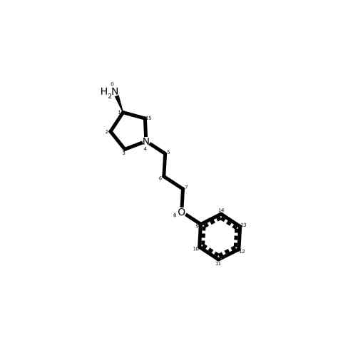 N[C@@H]1CCN(CCCOc2cc[c]cc2)C1